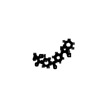 O=C(c1ccc(-c2nc3n(c2Cl)CCCC3)cc1)N1CCN(C(=O)C2(O)CC2)CC1